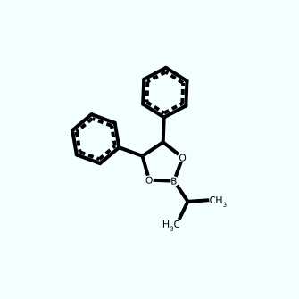 CC(C)B1OC(c2ccccc2)C(c2ccccc2)O1